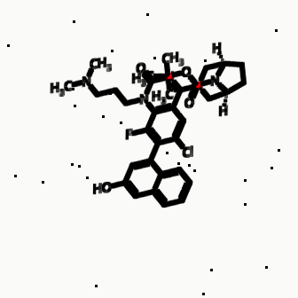 CN(C)CCCn1c(=O)nc(N2C[C@H]3CC[C@@H](C2)N3C(=O)OC(C)(C)C)c2cc(Cl)c(-c3cc(O)cc4ccccc34)c(F)c21